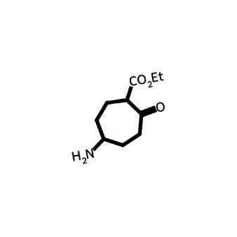 CCOC(=O)C1CCC(N)CCC1=O